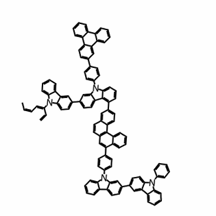 C=C/C(=C\C=C/C)n1c2ccccc2c2cc(-c3ccc4c5c(-c6ccc7c(ccc8cc(-c9ccc(-n%10c%11ccccc%11c%11ccc(-c%12ccc%13c(c%12)c%12ccccc%12n%13-c%12ccccc%12)cc%11%10)cc9)c9ccccc9c87)c6)cccc5n(-c5ccc(-c6ccc7c8ccccc8c8ccccc8c7c6)cc5)c4c3)ccc21